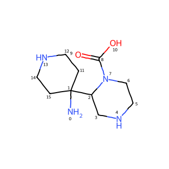 NC1(C2CNCCN2C(=O)O)CCNCC1